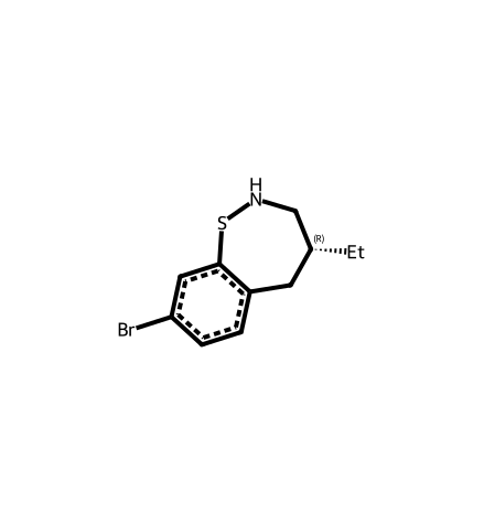 CC[C@H]1CNSc2cc(Br)ccc2C1